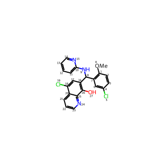 COc1ccc(Cl)cc1C(Nc1ccccn1)c1cc(Cl)c2cccnc2c1O